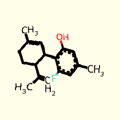 C=C(C)C1CCC(C)=CC1c1c(O)cc(C)cc1F